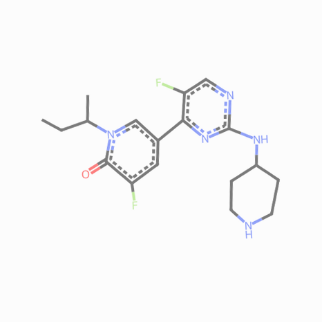 CCC(C)n1cc(-c2nc(NC3CCNCC3)ncc2F)cc(F)c1=O